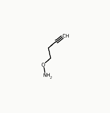 C#CCCON